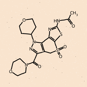 CC(=O)Nc1nc2c(s1)S(=O)(=O)Cc1c(C(=O)N3CCOCC3)nn(C3CCOCC3)c1-2